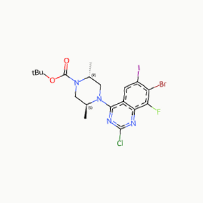 C[C@@H]1CN(c2nc(Cl)nc3c(F)c(Br)c(I)cc23)[C@@H](C)CN1C(=O)OC(C)(C)C